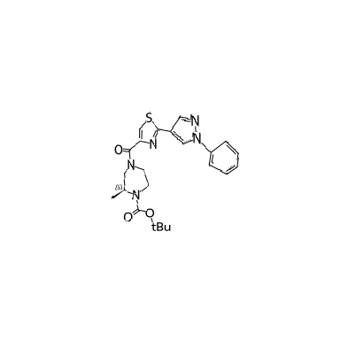 C[C@H]1CN(C(=O)c2csc(-c3cnn(-c4ccccc4)c3)n2)CCN1C(=O)OC(C)(C)C